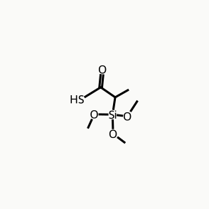 CO[Si](OC)(OC)C(C)C(=O)S